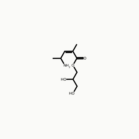 CC(=CC(C)N)C(=O)OCC(O)CO